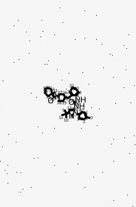 Cc1ccc(-n2nc(C(C)(C)C)cc2NC(=O)Nc2ccccc2CC2CCN(C(=O)C3(C)CCCCC3)CC2)cc1